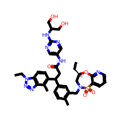 CC[C@@H]1CN(Cc2cc(C(CC(=O)Nc3cnc(NC(CO)CO)nc3)c3ccc4c(nnn4CC)c3C)ccc2C)S(=O)(=O)c2cccnc2O1